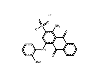 COc1ccccc1Nc1cc(S(=O)(=O)[O-])c(N)c2c1C(=O)c1ccccc1C2=O.[Na+]